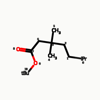 CC(C)CCC(C)(C)CC(=O)OC(C)(C)C